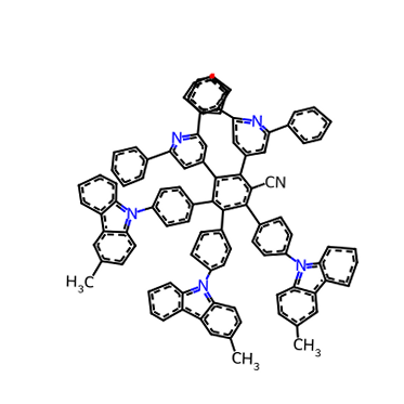 Cc1ccc2c(c1)c1ccccc1n2-c1ccc(-c2c(C#N)c(-c3cc(-c4ccccc4)nc(-c4ccccc4)c3)c(-c3cc(-c4ccccc4)nc(-c4ccccc4)c3)c(-c3ccc(-n4c5ccccc5c5cc(C)ccc54)cc3)c2-c2ccc(-n3c4ccccc4c4cc(C)ccc43)cc2)cc1